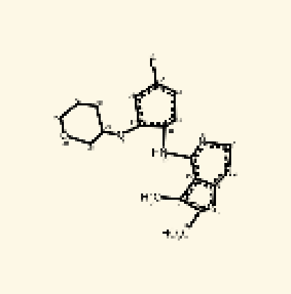 Cc1c(C(=O)O)sc2ncnc(Nc3ccc(F)cc3OC3CCCOC3)c12